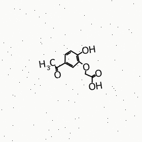 CC(=O)c1ccc(O)c(OCC(=O)O)c1